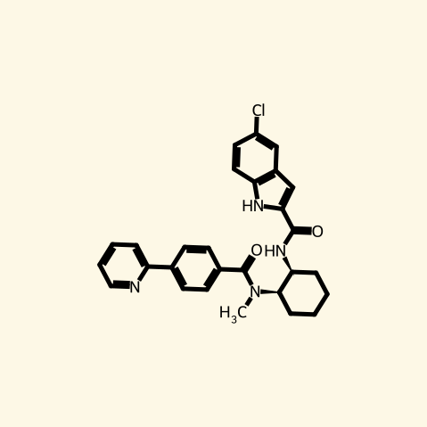 CN(C(=O)c1ccc(-c2ccccn2)cc1)[C@@H]1CCCC[C@@H]1NC(=O)c1cc2cc(Cl)ccc2[nH]1